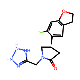 O=C1C[C@H](c2cc3c(cc2F)OCC3)CN1CC1=NNNN1